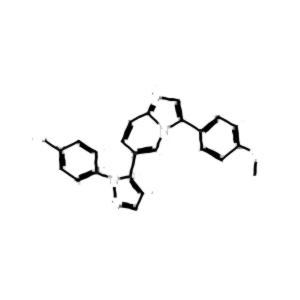 COc1ccc(-c2cnc3ccc(-c4ccnn4-c4ccc(Cl)cc4)cn23)cc1